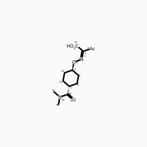 CC(=O)/C(=N/O[C@H]1CC[C@H](C(=O)N(C)C)CC1)C(=O)O